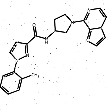 Cc1ccccc1-n1ccc(C(=O)N[C@H]2CCN(C3=NC=CC4C=CN=C34)C2)n1